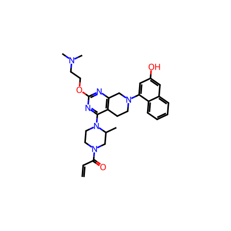 C=CC(=O)N1CCN(c2nc(OCCN(C)C)nc3c2CCN(c2cc(O)cc4ccccc24)C3)C(C)C1